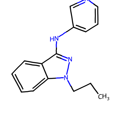 CCCn1nc(Nc2cccnc2)c2ccccc21